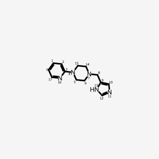 c1ccc(N2CCN(Cc3cnc[nH]3)CC2)nc1